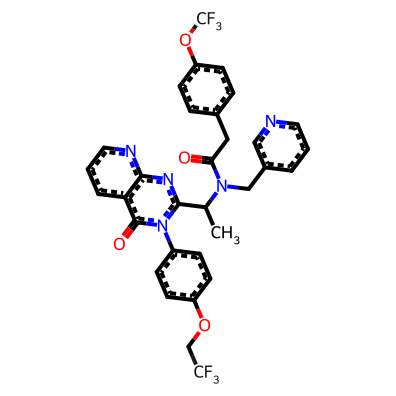 CC(c1nc2ncccc2c(=O)n1-c1ccc(OCC(F)(F)F)cc1)N(Cc1cccnc1)C(=O)Cc1ccc(OC(F)(F)F)cc1